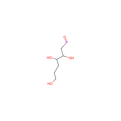 O=PCC(O)C(O)CCCO